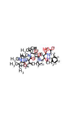 CO[C@H]([C@@H](C)C(=O)N[C@@H](Cc1ccccc1)C(=O)O)[C@@H]1CCCN1C(=O)C[C@@H](OC)[C@H](C(C)C)N(C)C(=O)[C@@H](NC(=O)[C@H](C(C)C)N(C)C)C(C)C